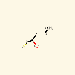 CCCC([O])C[S]